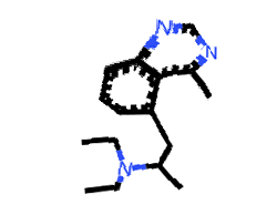 CCN(CC)C(C)Cc1cccc2ncnc(C)c12